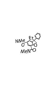 CC[C@@]1(c2ccccc2)COc2c(C(=O)NC)cc(C(=O)NC)cc21